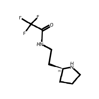 O=C(NCC[C@@H]1CCCN1)C(F)(F)F